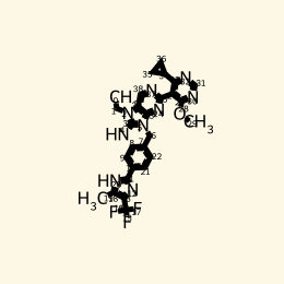 CCn1c(=N)n(Cc2ccc(-c3nc(C(F)(F)F)c(C)[nH]3)cc2)c2nc(-c3c(OC)ncnc3C3CC3)ncc21